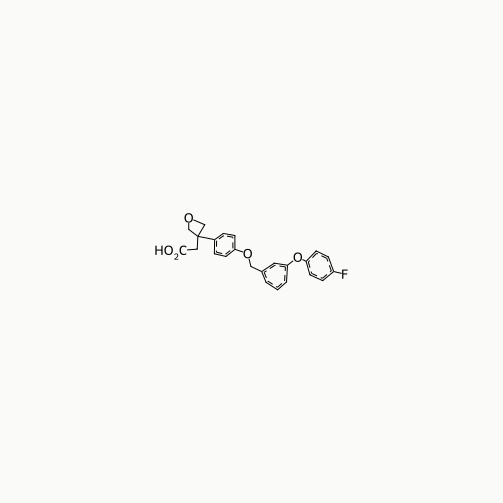 O=C(O)CC1(c2ccc(OCc3cccc(Oc4ccc(F)cc4)c3)cc2)COC1